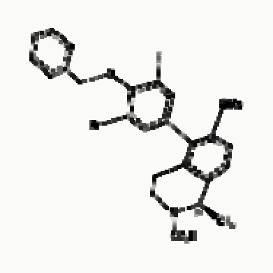 COc1ccc2c(c1-c1cc(F)c(OCc3ccccc3)c(Br)c1)CCN(C(=O)O)[C@@H]2C